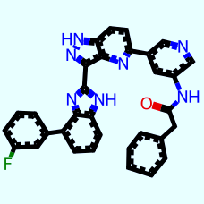 O=C(Cc1ccccc1)Nc1cncc(-c2ccc3[nH]nc(-c4nc5c(-c6cccc(F)c6)cccc5[nH]4)c3n2)c1